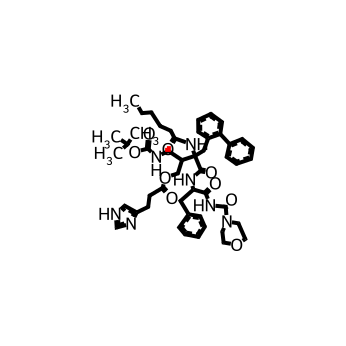 CCCCCC(=O)NC(Cc1ccccc1-c1ccccc1)(C(=O)NC(Cc1ccccc1)C(=O)NC(=O)N1CCOCC1)C(CNC(=O)OC(C)(C)C)COC(=O)CCc1c[nH]cn1